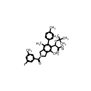 Cc1ccc(-c2c(C)c3c(c(C)c2C(OC(C)(C)C)C(=O)O)CN(C(=O)c2cc(C)cc(F)c2)C3)cc1